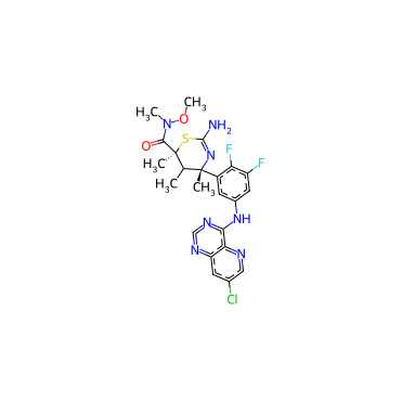 CON(C)C(=O)[C@@]1(C)SC(N)=N[C@](C)(c2cc(Nc3ncnc4cc(Cl)cnc34)cc(F)c2F)C1C